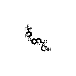 O=C(c1ccc2cc(Oc3ccc(C(F)(F)F)cn3)ccc2n1)N1CCCNC1